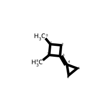 CC1CC(=C2CC2)C1C